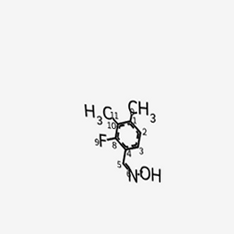 Cc1ccc(/C=N\O)c(F)c1C